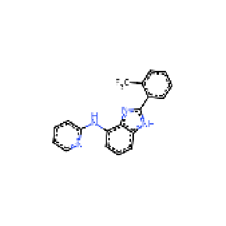 FC(F)(F)c1ccccc1-c1nc2c(Nc3ccccn3)cccc2[nH]1